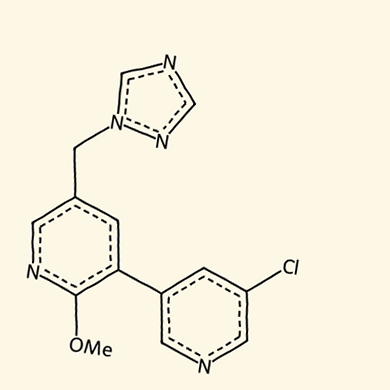 COc1ncc(Cn2cncn2)cc1-c1cncc(Cl)c1